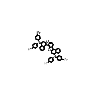 CC(C)c1ccc(N(c2ccc(C(C)C)cc2)c2cc3oc4c(ccc5oc6cc(N(c7ccc(C(C)C)cc7)c7ccc(C(C)C)cc7)c7ccccc7c6c54)c3c3ccccc23)cc1